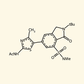 CNS(=O)(=O)c1cc(-c2sc(NC(C)=O)nc2C)cc2c1C(=O)N(C(C)(C)C)C2